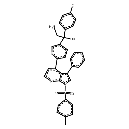 Cc1ccc(S(=O)(=O)n2cc(-c3ccccc3)c3c(-c4ccc(C(O)(CN)c5ccc(Cl)cc5)cn4)ccnc32)cc1